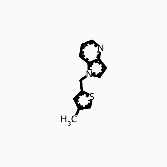 Cc1csc(Cn2ccc3ncccc32)c1